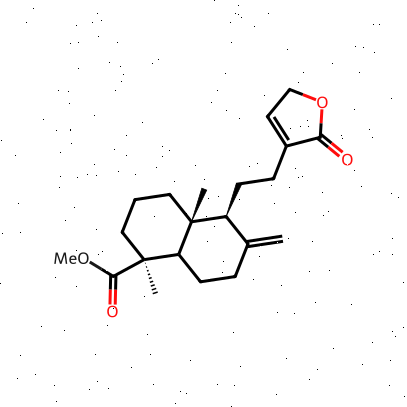 C=C1CCC2[C@](C)(CCC[C@]2(C)C(=O)OC)[C@H]1CCC1=CCOC1=O